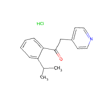 CC(C)c1ccccc1C(=O)Cc1ccncc1.Cl